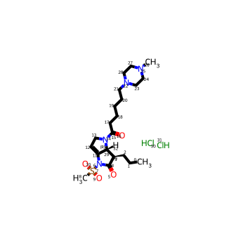 CCC[C@H]1C(=O)N(S(C)(=O)=O)C2=CCN(C(=O)CCCCCN3CCN(C)CC3)[C@@H]21.Cl.Cl